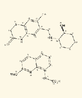 COc1ccc2nccc(NC(=O)O)c2n1.O=C1CSc2cc(F)c(CN[C@H]3CCCC[C@@H]3O)nc2N1